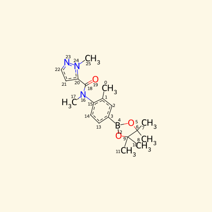 Cc1cc(B2OC(C)(C)C(C)(C)O2)ccc1N(C)C(=O)c1ccnn1C